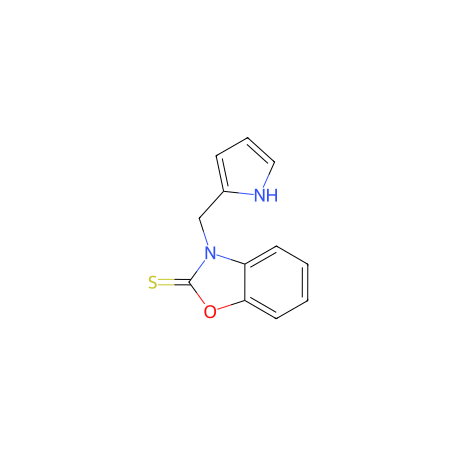 S=c1oc2ccccc2n1Cc1ccc[nH]1